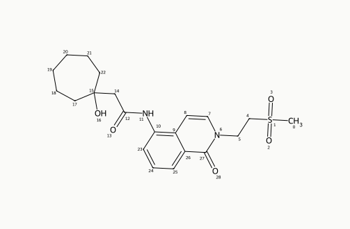 CS(=O)(=O)CCn1ccc2c(NC(=O)CC3(O)CCCCCC3)cccc2c1=O